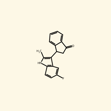 Cc1[nH]c2ccc(F)cc2c1C1CC(=O)c2ccccc21